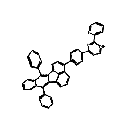 C1=C(c2ccc(-c3ccc4c5c(cccc35)-c3c-4c(-c4ccccc4)c4ccccc4c3-c3ccccc3)cc2)N=C(c2ccccn2)NC1